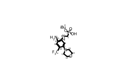 CCC(C)OP(=O)(O)CNc1cc(N2CCOCC2)c(C(F)(F)F)cc1N